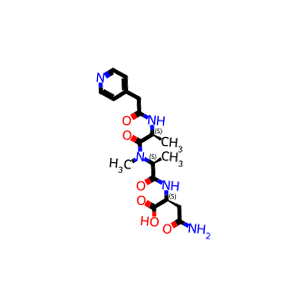 C[C@H](NC(=O)Cc1ccncc1)C(=O)N(C)[C@@H](C)C(=O)N[C@@H](CC(N)=O)C(=O)O